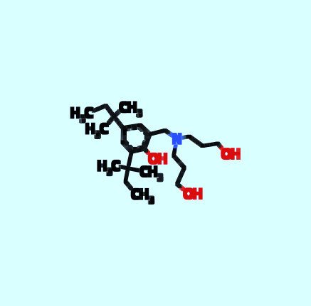 CCC(C)(C)c1cc(CN(CCCO)CCCO)c(O)c(C(C)(C)CC)c1